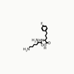 NCCCC[C@H](N)C(=O)NC(CCCc1ccc(F)cc1)C(=O)O